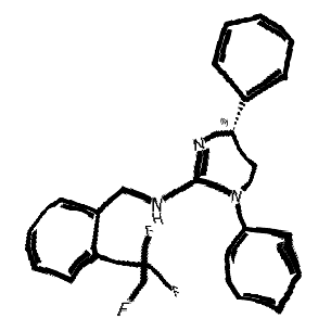 FC(F)(F)c1ccccc1CNC1=N[C@H](c2ccccc2)CN1c1ccccc1